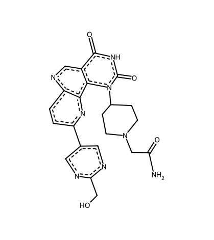 NC(=O)CN1CCC(n2c(=O)[nH]c(=O)c3cnc4ccc(-c5cnc(CO)nc5)nc4c32)CC1